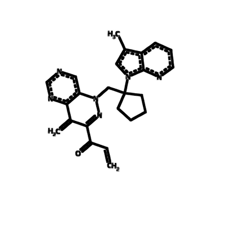 C=CC(=O)C1=NN(CC2(n3cc(C)c4cccnc43)CCCC2)c2cncnc2C1=C